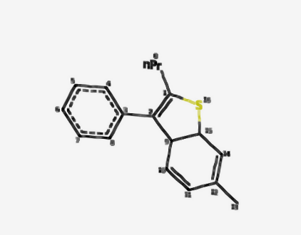 CCCC1=C(c2ccccc2)C2C=CC(C)=CC2S1